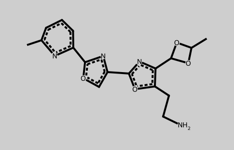 Cc1cccc(-c2nc(-c3nc(C4OC(C)O4)c(CCN)o3)co2)n1